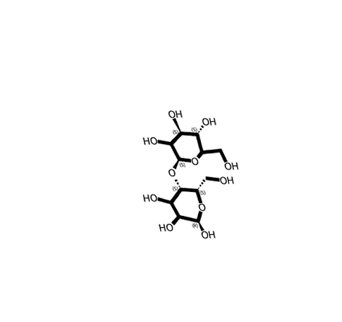 OCC1O[C@@H](O[C@H]2C(O)C(O)[C@H](O)O[C@H]2CO)C(O)[C@@H](O)[C@@H]1O